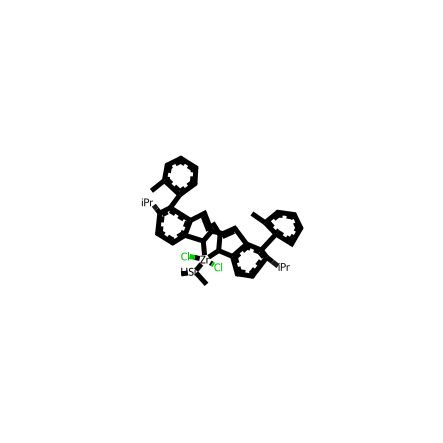 CC1=Cc2c(ccc(C(C)C)c2-c2ccccc2C)[CH]1[Zr]([Cl])([Cl])([CH]1C(C)=Cc2c1ccc(C(C)C)c2-c1ccccc1C)[SiH](C)C